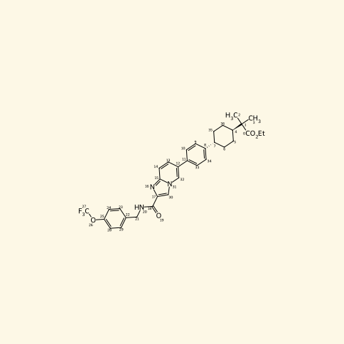 CCOC(=O)C(C)(C)[C@H]1CC[C@H](c2ccc(-c3ccc4nc(C(=O)NCc5ccc(OC(F)(F)F)cc5)cn4c3)cc2)CC1